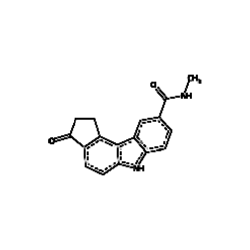 CNC(=O)c1ccc2[nH]c3ccc4c(c3c2c1)CCC4=O